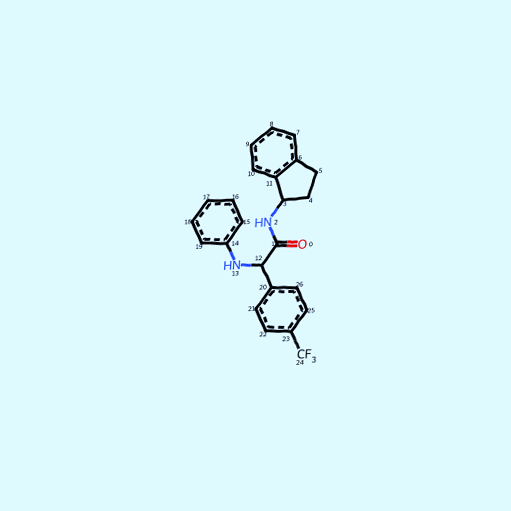 O=C(NC1CCc2ccccc21)C(Nc1ccccc1)c1ccc(C(F)(F)F)cc1